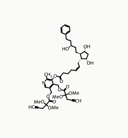 C#CCC(OC)(OC)C(=O)OCc1cnc(C)c(OC(=O)CCC/C=C\C[C@@H]2[C@@H](CC[C@@H](O)CCc3ccccc3)[C@H](O)C[C@@H]2O)c1COC(=O)C(CC#C)(OC)OC